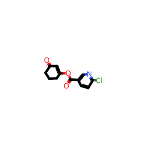 O=C1C=C(OC(=O)c2ccc(Cl)nc2)CCC1